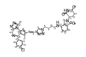 Cc1c(C#Cc2cn(CCCCNc3cccc4c3CN(C3CCC(=O)NC3=O)C4=O)nn2)sc2c1C(c1ccc(Cl)cc1)=NCc1nnc(C)n1-2